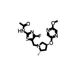 COc1cnc(O[C@@H]2C[C@H](C)N(Cc3sc(NC(C)=O)nc3F)C2)cn1